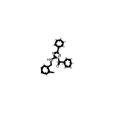 Cc1ccccc1CNc1nc(-c2ccccc2)nn1C(=O)c1ccccc1